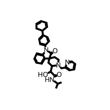 CC(C)NC(=O)C(O)C1CC2(CCN1Cc1ccccn1)C(=O)N(c1ccc(C3C=CC=CC3)cc1)c1ccccc12